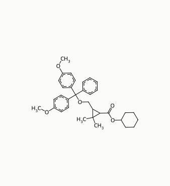 COc1ccc(C(OCC2C(C(=O)OC3CCCCC3)C2(C)C)(c2ccccc2)c2ccc(OC)cc2)cc1